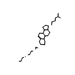 CC(C)CCCC[C@H]1CC[C@H]2[C@@H]3CC=C4C[C@@H](OC(=O)OCCSSCCO)CC[C@]4(C)[C@H]3CC[C@]12C